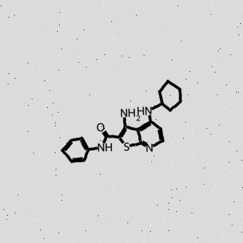 Nc1c(C(=O)Nc2ccccc2)sc2nccc(NC3CCCCC3)c12